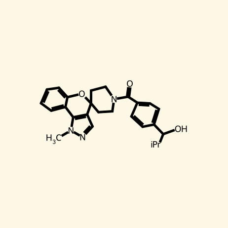 CC(C)C(O)c1ccc(C(=O)N2CCC3(CC2)Oc2ccccc2-c2c3cnn2C)cc1